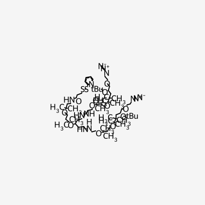 CC(C)(C)OC(COCCN=[N+]=[N-])CC(C)(C)C(C)(C)OCCC(C)(C)OCCNNCCC(CCNNCCOC(C)(C)CCOC(C)(C)C(C)(C)CC(COCCN=[N+]=[N-])OC(C)(C)C)OC(C)(C)CCOC(C)(C)CCNC(=O)CCSSc1ccccn1